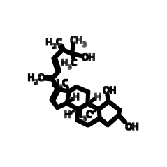 C=C(C=CC(=C)C(C)(C)O)C1=CC[C@H]2[C@@H]3CCC4CC(O)CC(O)[C@]4(C)[C@H]3CC[C@]12C